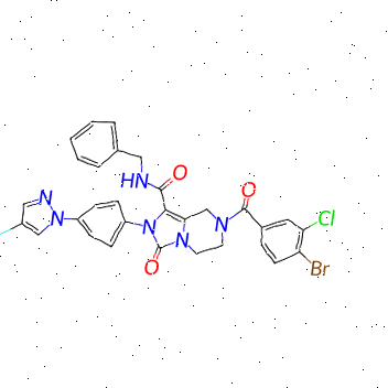 O=C(NCc1ccccc1)c1c2n(c(=O)n1-c1ccc(-n3cc(F)cn3)cc1)CCN(C(=O)c1ccc(Br)c(Cl)c1)C2